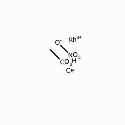 CC(=O)O.O=[N+]([O-])[O-].[Ce].[Rh+3]